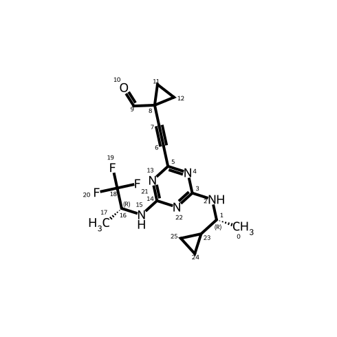 C[C@@H](Nc1nc(C#CC2(C=O)CC2)nc(N[C@H](C)C(F)(F)F)n1)C1CC1